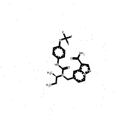 CC[C@@H](C)N(Cc1ccn2ncc(C(N)=O)c2c1)C(=O)Nc1ccc(OC(F)(F)F)cc1